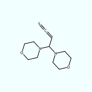 S=C=CC(N1CCOCC1)N1CCOCC1